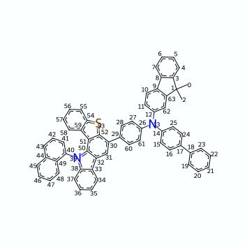 CC1(C)c2ccccc2-c2ccc(N(c3ccc(-c4ccccc4)cc3)c3ccc(-c4cc5c6ccccc6n(-c6cccc7ccccc67)c5c5c4sc4ccccc45)cc3)cc21